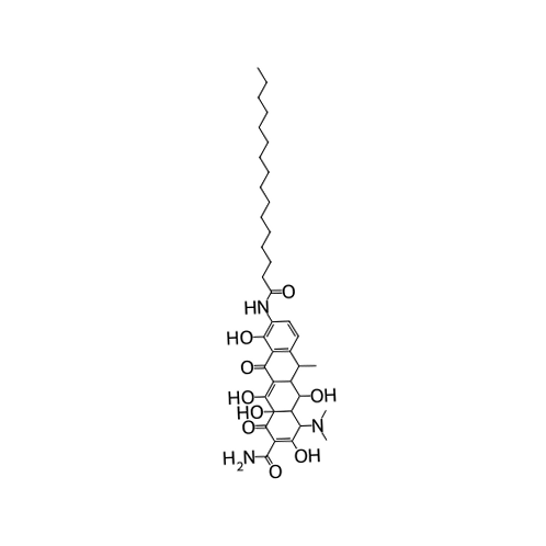 CCCCCCCCCCCCCCCC(=O)Nc1ccc2c(c1O)C(=O)C1=C(O)C3(O)C(=O)C(C(N)=O)=C(O)C(N(C)C)C3C(O)C1C2C